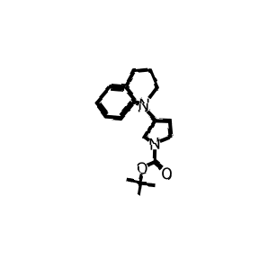 CC(C)(C)OC(=O)N1CCC(N2CCCc3ccccc32)C1